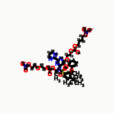 COc1ccccc1Oc1c(OCCOC(=O)OCCCCO[N+](=O)[O-])nc(-c2ncccn2)nc1N(C(C)OC(=O)OCCOCCO[N+](=O)[O-])S(=O)(=O)c1ccc(C(C)(C)C)cc1